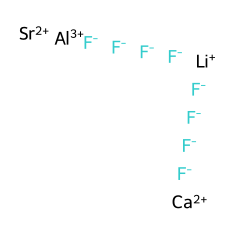 [Al+3].[Ca+2].[F-].[F-].[F-].[F-].[F-].[F-].[F-].[F-].[Li+].[Sr+2]